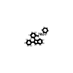 C(=NNC1CCCCC1)c1ccccc1C1C(c2ccccc2)=Cc2ccccc21